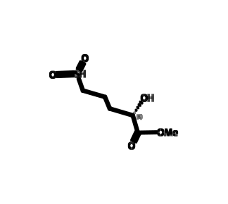 COC(=O)[C@@H](O)CCC[SH](=O)=O